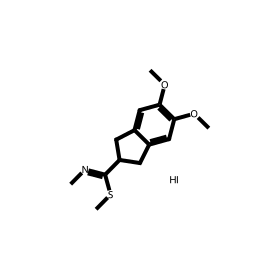 CN=C(SC)C1Cc2cc(OC)c(OC)cc2C1.I